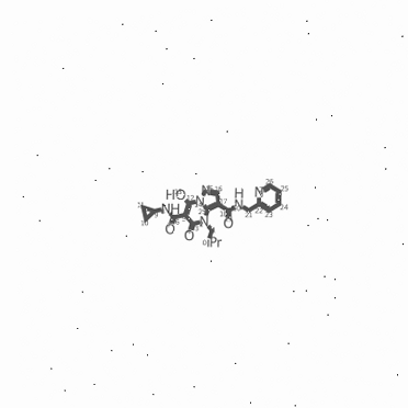 CC(C)Cn1c(=O)c(C(=O)NC2CC2)c(O)n2ncc(C(=O)NCc3ccccn3)c12